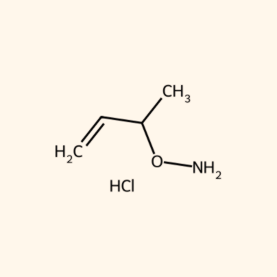 C=CC(C)ON.Cl